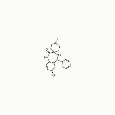 CN1CCC2(CC1)NC(c1ccccc1)c1cc(Cl)ccc1NC2=O